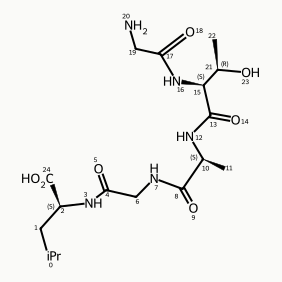 CC(C)C[C@H](NC(=O)CNC(=O)[C@H](C)NC(=O)[C@@H](NC(=O)CN)[C@@H](C)O)C(=O)O